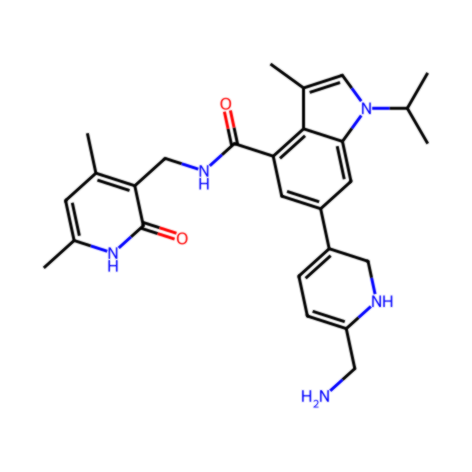 Cc1cc(C)c(CNC(=O)c2cc(C3=CC=C(CN)NC3)cc3c2c(C)cn3C(C)C)c(=O)[nH]1